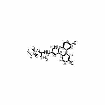 CN(C)S(=O)(=O)/N=C(\N)NCc1cnc(-c2ccc(Cl)cc2)c(-c2ccc(Cl)cc2)c1